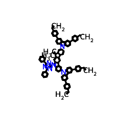 C=Cc1ccc(-c2ccc3c(c2)c2cc(-c4ccc(C=C)cc4)ccc2n3C2=CC3C(C=C2)C2=CC4c5cc(-n6c7ccc(-c8ccc(C=C)cc8)cc7c7cc(-c8ccc(C=C)cc8)ccc76)ccc5N(c5nc(-c6ccccc6)nc(-c6ccccc6)n5)C4C=C2C3(C)C)cc1